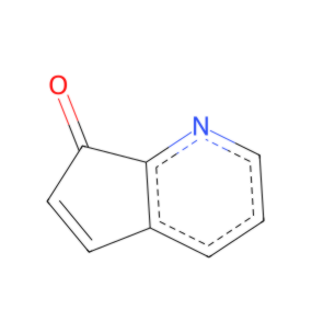 O=C1C=Cc2cccnc21